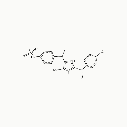 Cc1c(C(=O)c2ccc(Cl)cc2)[nH]c(C(C)c2ccc(NS(C)(=O)=O)cc2)c1C#N